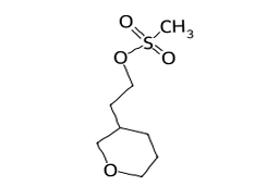 CS(=O)(=O)OCCC1CCCOC1